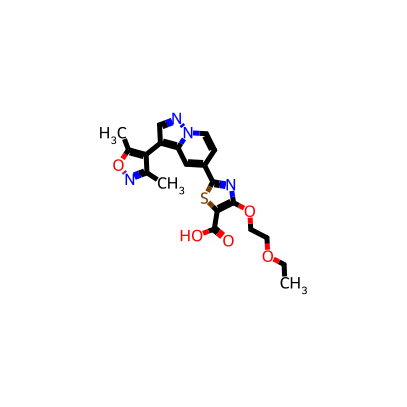 CCOCCOc1nc(-c2ccn3ncc(-c4c(C)noc4C)c3c2)sc1C(=O)O